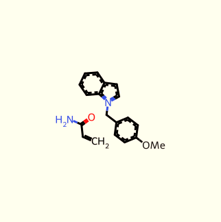 C=CC(N)=O.COc1ccc(Cn2ccc3ccccc32)cc1